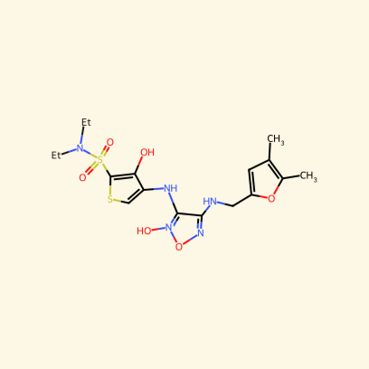 CCN(CC)S(=O)(=O)c1scc(Nc2c(NCc3cc(C)c(C)o3)no[n+]2O)c1O